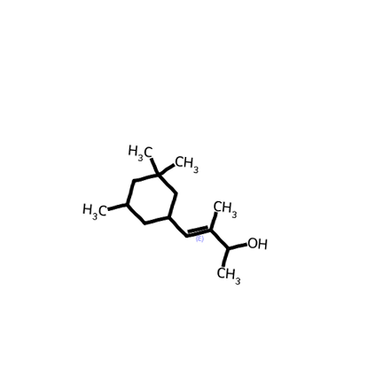 C/C(=C\C1CC(C)CC(C)(C)C1)C(C)O